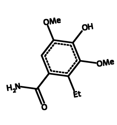 CCc1c(C(N)=O)cc(OC)c(O)c1OC